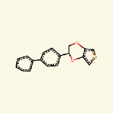 c1ccc(-c2ccc(C3COc4cscc4O3)cc2)cc1